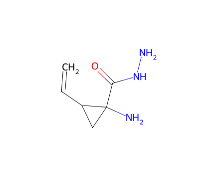 C=CC1CC1(N)C(=O)NN